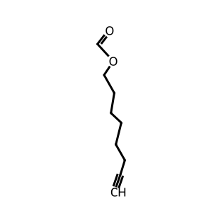 C#CCCCCCCOC=O